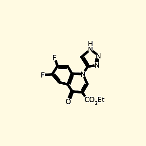 CCOC(=O)c1cn(-c2c[nH]nn2)c2cc(F)c(F)cc2c1=O